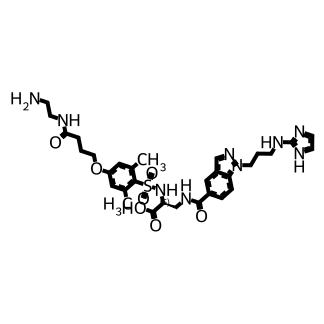 Cc1cc(OCCCC(=O)NCCN)cc(C)c1S(=O)(=O)N[C@@H](CNC(=O)c1ccc2c(cnn2CCCNc2ncc[nH]2)c1)C(=O)O